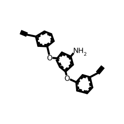 C#Cc1cccc(Oc2cc(N)cc(Oc3cccc(C#C)c3)c2)c1